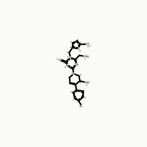 CC(=O)OCc1nc(N2CC=C(c3ccc(F)cc3)C(O)C2)nc(=O)n1Cc1ccc(C(F)(F)F)s1